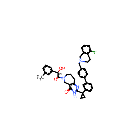 O=C([C@H](O)c1cccc(C(F)(F)F)c1)N1CCCc2nc(C3(c4cccc(-c5ccc(CN6CCc7c(Cl)cccc7C6)cc5)c4)CC3)[nH]c(=O)c2C1